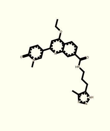 CCOc1cc(-c2ccc(=O)n(C)c2)nc2cc(C(=O)NCCCc3[nH]nnc3C)ccc12